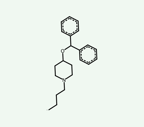 [CH2]CCCN1CCC(OC(c2ccccc2)c2ccccc2)CC1